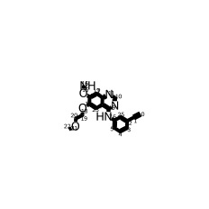 C#Cc1cccc(Nc2ncnc3cc(ON)c(OCCOC)cc23)c1